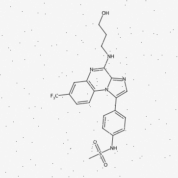 CS(=O)(=O)Nc1ccc(-c2cnc3c(NCCCO)nc4cc(C(F)(F)F)ccc4n23)cc1